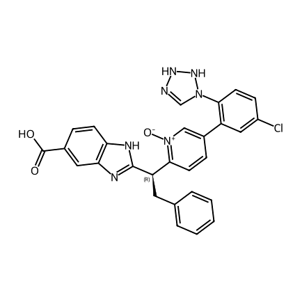 O=C(O)c1ccc2[nH]c([C@H](Cc3ccccc3)c3ccc(-c4cc(Cl)ccc4N4C=NNN4)c[n+]3[O-])nc2c1